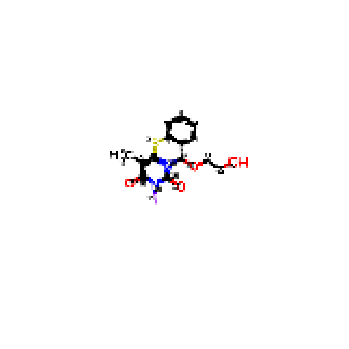 Cc1c(Sc2ccccc2)n(COCCO)c(=O)n(I)c1=O